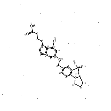 O=C(O)CCCn1ccc2cc(OCc3ccc(C4CCCC4)c(C(F)(F)F)c3)cc(Cl)c21